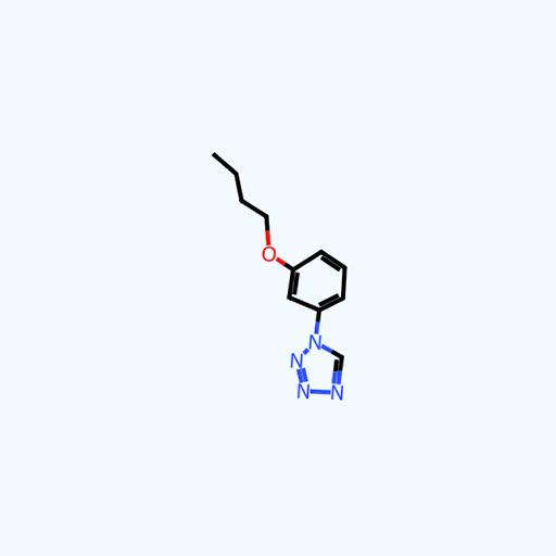 CCCCOc1cccc(-n2cnnn2)c1